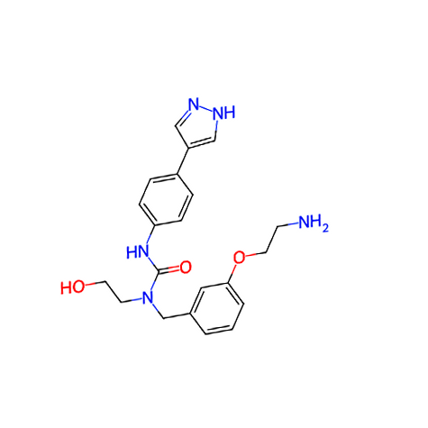 NCCOc1cccc(CN(CCO)C(=O)Nc2ccc(-c3cn[nH]c3)cc2)c1